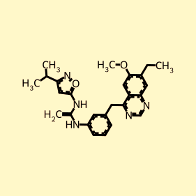 C=C(Nc1cccc(Cc2ncnc3cc(CC)c(OC)cc23)c1)Nc1cc(C(C)C)no1